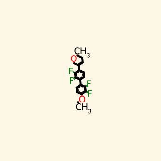 CCOc1ccc(-c2ccc(C3=CCC(C)OC3)c(F)c2F)c(F)c1F